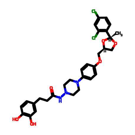 C[C@]1(c2ccc(Cl)cc2Cl)OC[C@@H](COc2ccc(N3CCN(NC(=O)CCc4ccc(O)c(O)c4)CC3)cc2)O1